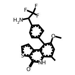 COc1cc(C)c2[nH]c(=O)c3sccc3c2c1-c1ccc(C(N)C(F)(F)F)cc1